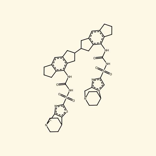 O=C(Nc1c2c(cc3c1CC(C1Cc4cc5c(c(NC(=O)NS(=O)(=O)c6nc7c(s6)C6CCN(CC6)C7)c4C1)CCC5)C3)CCC2)NS(=O)(=O)c1cn2c(n1)CN1CCC2CC1